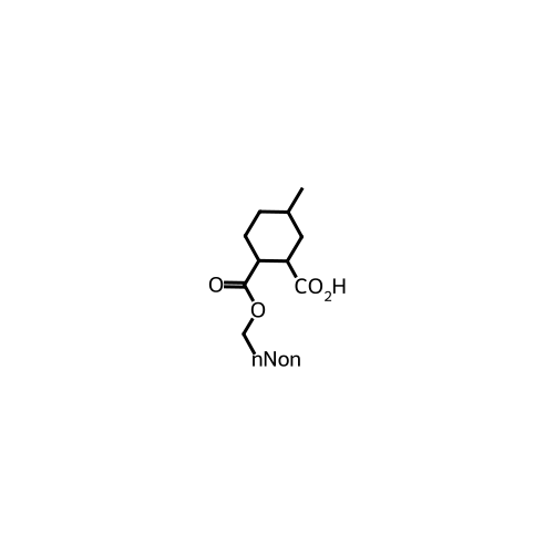 CCCCCCCCCCOC(=O)C1CCC(C)CC1C(=O)O